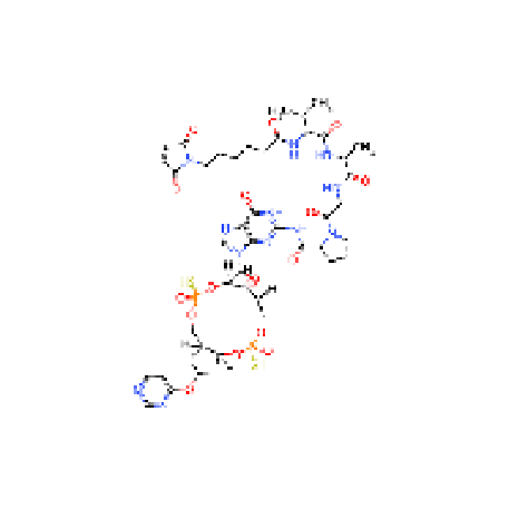 CC(C)[C@H](NC(=O)CCCCCN1C(=O)C=CC1=O)C(=O)N[C@@H](C)C(=O)NCC(=O)N1CCC[C@@H]1C(=O)Nc1nc2c(ncn2[C@@H]2O[C@@H]3CO[P@@](=O)(S)O[C@H]4C[C@H](Oc5ccncn5)C[C@@H]4CO[P@@](=O)(S)O[C@@H]2[C@@H]3O)c(=O)[nH]1